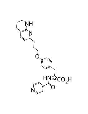 O=C(N[C@@H](Cc1ccc(OCCCc2ccc3c(n2)NCCC3)cc1)C(=O)O)c1ccncc1